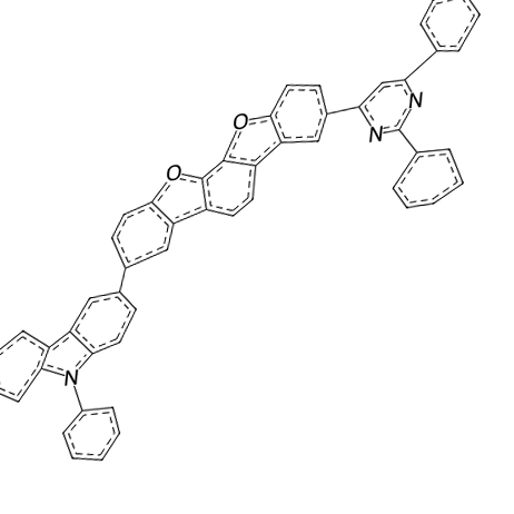 c1ccc(-c2cc(-c3ccc4oc5c(ccc6c7cc(-c8ccc9c(c8)c8ccccc8n9-c8ccccc8)ccc7oc65)c4c3)nc(-c3ccccc3)n2)cc1